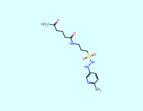 O=C(CCCC(=O)C(=O)O)NCCCS(=O)(=O)NNc1ccc([N+](=O)[O-])nc1